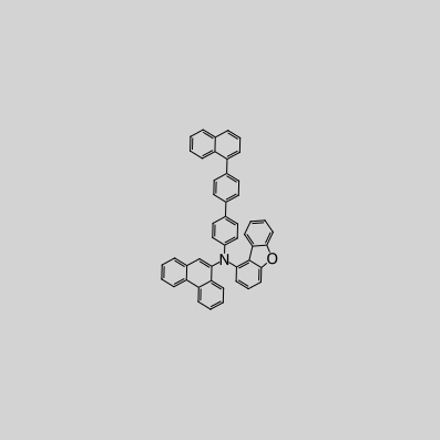 c1ccc2c(-c3ccc(-c4ccc(N(c5cc6ccccc6c6ccccc56)c5cccc6oc7ccccc7c56)cc4)cc3)cccc2c1